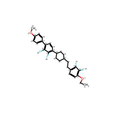 CCOc1ccc(CCC2CCC(c3ccc(-c4ccc(OC)cc4)c(F)c3F)CC2)c(F)c1F